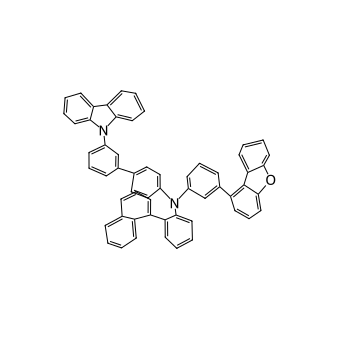 c1cc(-c2cccc3oc4ccccc4c23)cc(N(c2ccc(-c3cccc(-n4c5ccccc5c5ccccc54)c3)cc2)c2ccccc2-c2cccc3ccccc23)c1